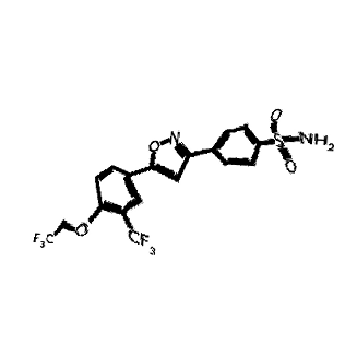 NS(=O)(=O)c1ccc(-c2cc(-c3ccc(OCC(F)(F)F)c(C(F)(F)F)c3)on2)cc1